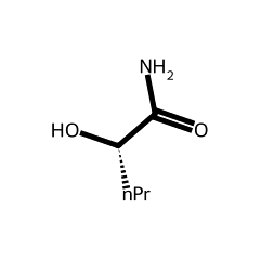 CCC[C@H](O)C(N)=O